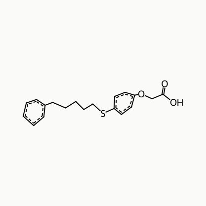 O=C(O)COc1ccc(SCCCCCc2ccccc2)cc1